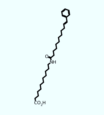 O=C(O)CCCCCCCCCCCNC(=O)CCCCCCCCCC=Cc1ccccc1